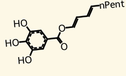 CCCCCC=CC=COC(=O)c1cc(O)c(O)c(O)c1